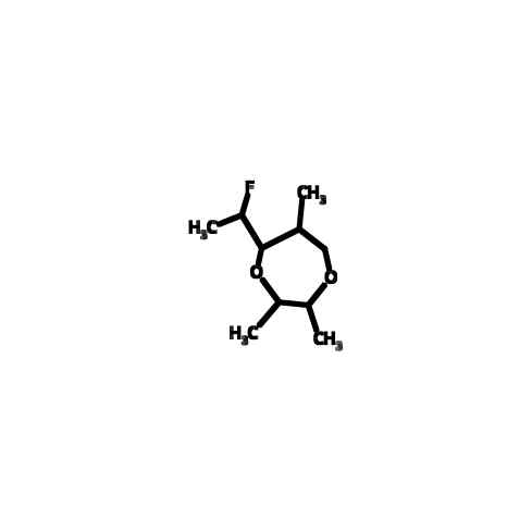 CC(F)C1OC(C)C(C)OCC1C